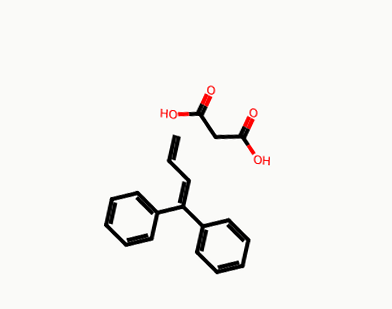 C=CC=C(c1ccccc1)c1ccccc1.O=C(O)CC(=O)O